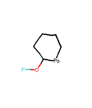 FO[CH]1CCC[CH2][Po]1